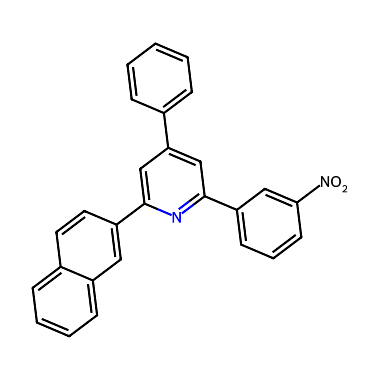 O=[N+]([O-])c1cccc(-c2cc(-c3ccccc3)cc(-c3ccc4ccccc4c3)n2)c1